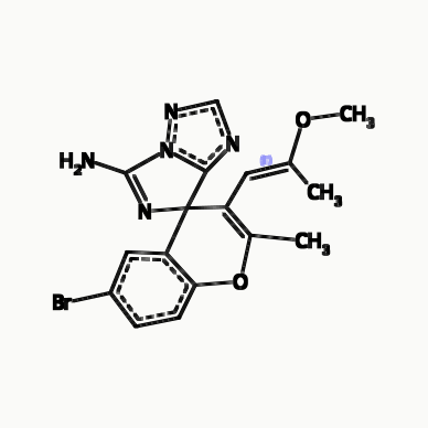 CO/C(C)=C/C1=C(C)Oc2ccc(Br)cc2C12N=C(N)n1ncnc12